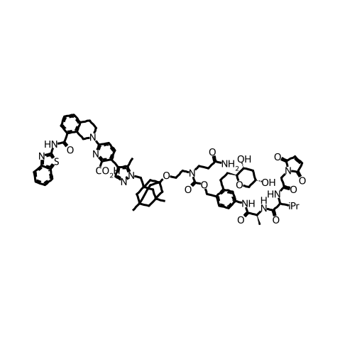 Cc1c(-c2ccc(N3CCc4cccc(C(=O)Nc5nc6ccccc6s5)c4C3)nc2C(=O)O)cnn1CC12CC3(C)CC(C)(C1)CC(OCCN(CCC(N)=O)C(=O)OCc1ccc(NC(=O)[C@H](C)NC(=O)C(NC(=O)CN4C(=O)C=CC4=O)C(C)C)cc1CC[C@@H]1OC[C@@H](O)C[C@H]1O)(C3)C2